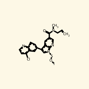 C=CCN(C)C(=O)c1cnc2c(c1)c(-c1ccc3nccc(Cl)c3c1)cn2SOI